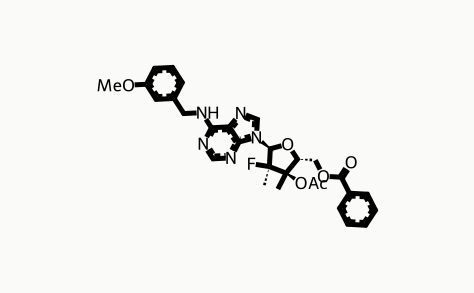 COc1cccc(CNc2ncnc3c2ncn3[C@H]2O[C@H](COC(=O)c3ccccc3)[C@@](C)(OC(C)=O)[C@@]2(C)F)c1